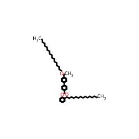 CCCCCCCCCCCCCCCCCCOC(C)c1ccc(-c2ccc(C(=O)Oc3ccccc3CCCCCCCCCCCCCCC)cc2)cc1